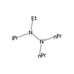 CCC[N+](CCC)N(CC)C(C)C